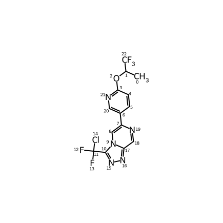 CC(Oc1ccc(-c2cn3c(C(F)(F)Cl)nnc3cn2)cn1)C(F)(F)F